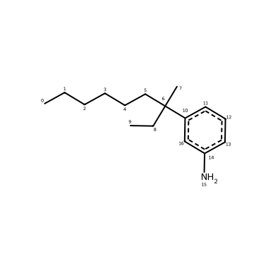 CCCCCCC(C)(CC)c1cccc(N)c1